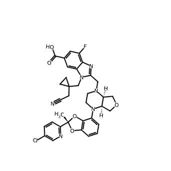 C[C@]1(c2ccc(Cl)cn2)Oc2cccc(N3CCN(Cc4nc5c(F)cc(C(=O)O)cc5n4CC4(CC#N)CC4)[C@H]4COC[C@H]43)c2O1